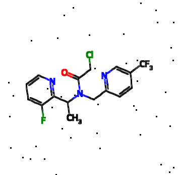 CC(c1ncccc1F)N(Cc1ccc(C(F)(F)F)cn1)C(=O)CCl